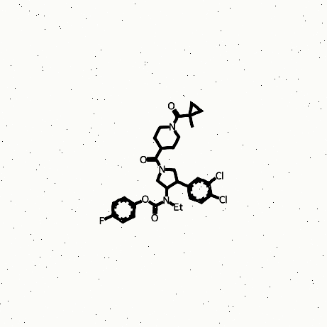 CCN(C(=O)Oc1ccc(F)cc1)C1CN(C(=O)C2CCN(C(=O)C3(C)CC3)CC2)CC1c1ccc(Cl)c(Cl)c1